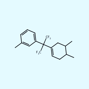 Cc1cccc(C(C2=CCC(C)C(C)C2)(C(F)(F)F)C(F)(F)F)c1